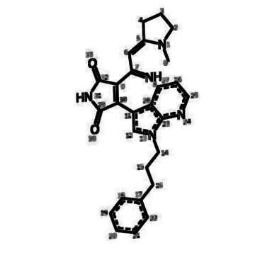 CN1CCC/C1=C/C(=N)C1=C(c2cn(CCCc3ccccc3)c3ncccc23)C(=O)NC1=O